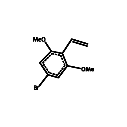 C=Cc1c(OC)cc(Br)cc1OC